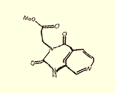 COC(=O)Cn1c(=O)[nH]c2cnccc2c1=O